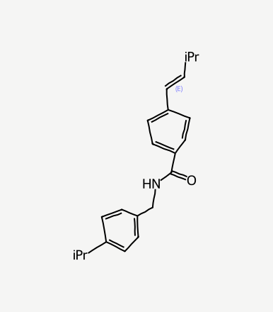 CC(C)/C=C/c1ccc(C(=O)NCc2ccc(C(C)C)cc2)cc1